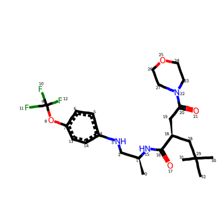 C[C@@H](CNc1ccc(OC(F)(F)F)cc1)NC(=O)[C@@H](CC(=O)N1CCOCC1)CC(C)(C)C